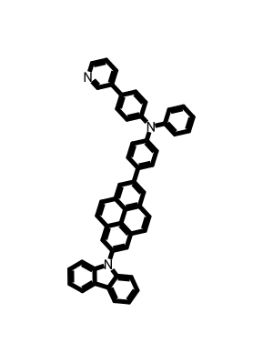 c1ccc(N(c2ccc(-c3cccnc3)cc2)c2ccc(-c3cc4ccc5cc(-n6c7ccccc7c7ccccc76)cc6ccc(c3)c4c56)cc2)cc1